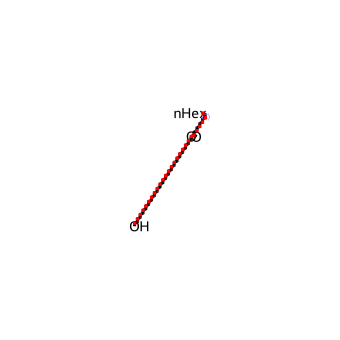 CCCCCC/C=C\CCCCCCCC(=O)OCCCCCCCCCCCCCCCCCCCCCCCCCCCCCCCCCCCCCCCCO